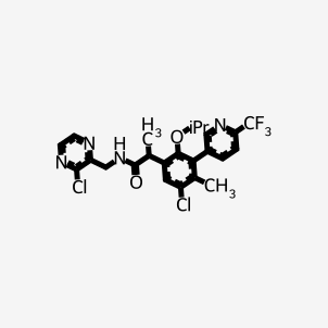 Cc1c(Cl)cc(C(C)C(=O)NCc2nccnc2Cl)c(OC(C)C)c1-c1ccc(C(F)(F)F)nc1